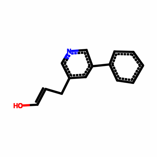 OC=CCc1cncc(-c2ccccc2)c1